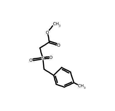 COC(=O)CS(=O)(=O)Cc1ccc(C)cc1